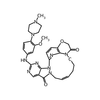 COc1cc(Nc2ncc3c(=O)n4n(c3n2)-c2ccc3c(n2)N(CCC/C=C\C4)C(=O)CO3)ccc1N1CCN(C)CC1